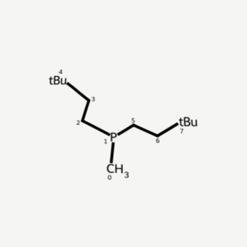 CP(CCC(C)(C)C)CCC(C)(C)C